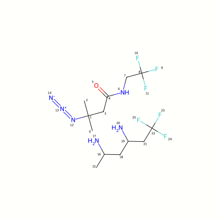 CC(C)(CC(=O)NCC(F)(F)F)N=[N+]=[N-].CC(N)CC(N)CC(F)(F)F